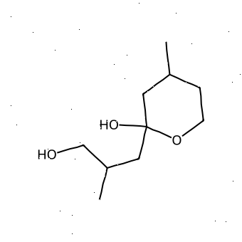 CC(CO)CC1(O)CC(C)CCO1